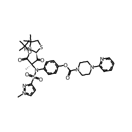 Cn1ccc(S(=O)(=O)N(c2ccc(OC(=O)N3CCN(c4ccccn4)CC3)cc2)[C@@](C)(C(=O)OC(C)(C)C)C(=O)[C@H]2NC(C)(C)CS2)n1